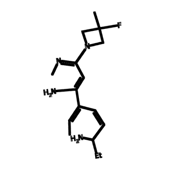 C/C=C(\C=C/C(N)CC)C(/N)=C/C(=N\C)N1CC(C)(F)C1